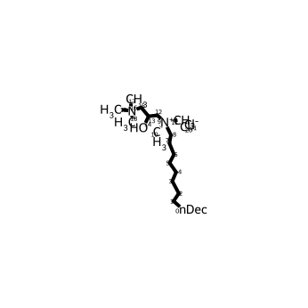 CCCCCCCCCCCCCCCCCC[N+](C)(C)CC(O)C[N+](C)(C)C.[Cl-].[Cl-]